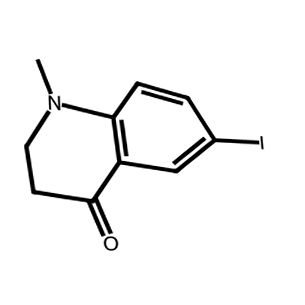 CN1CCC(=O)c2cc(I)ccc21